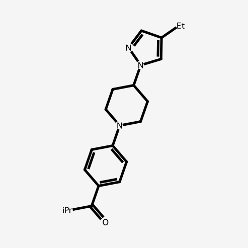 CCc1cnn(C2CCN(c3ccc(C(=O)C(C)C)cc3)CC2)c1